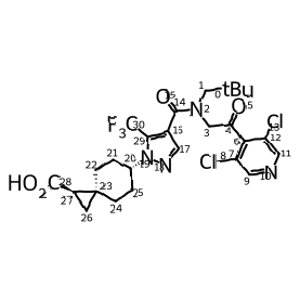 CC(C)(C)CN(CC(=O)c1c(Cl)cncc1Cl)C(=O)c1cnn([C@H]2CC[C@]3(CC2)C[C@H]3C(=O)O)c1C(F)(F)F